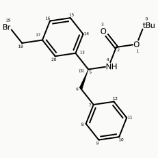 CC(C)(C)OC(=O)N[C@@H](Cc1ccccc1)c1cccc(CBr)c1